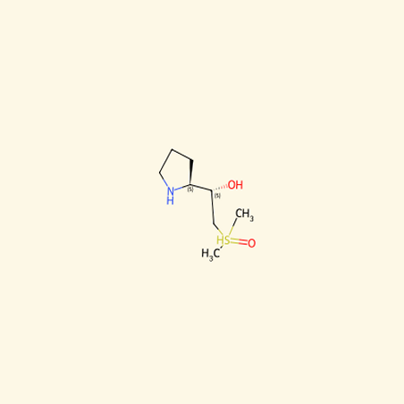 C[SH](C)(=O)C[C@@H](O)[C@@H]1CCCN1